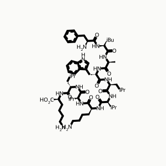 CC[C@H](C)[C@H](NC(=O)[C@@H](N)Cc1ccccc1)C(=O)N[C@@H](C)C(=O)N[C@@H](Cc1c[nH]c2ccccc12)C(=O)N[C@@H](CC(C)C)C(=O)N[C@H](C(=O)N[C@@H](CCCCN)C(=O)N[C@H](C(=O)N[C@@H](CC(C)C)C(=O)N[C@@H](CCCCN)C(=O)O)C(C)C)C(C)C